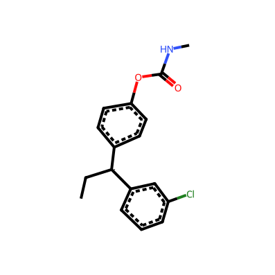 CC[C](c1ccc(OC(=O)NC)cc1)c1cccc(Cl)c1